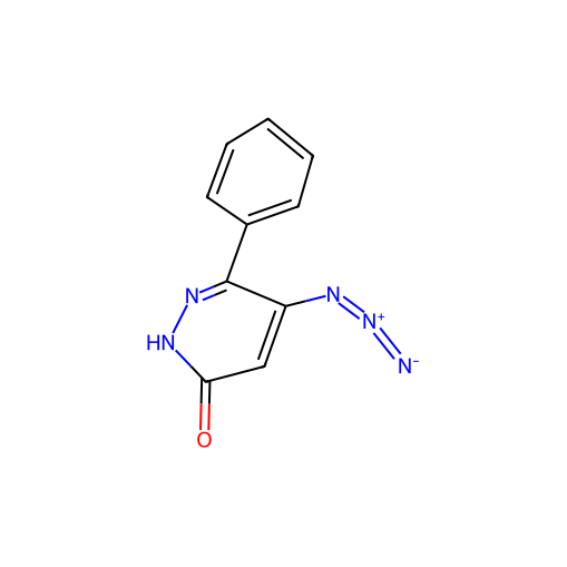 [N-]=[N+]=Nc1cc(=O)[nH]nc1-c1ccccc1